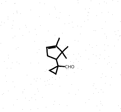 CC1=CCC(C2(C=O)CC2)C1(C)C